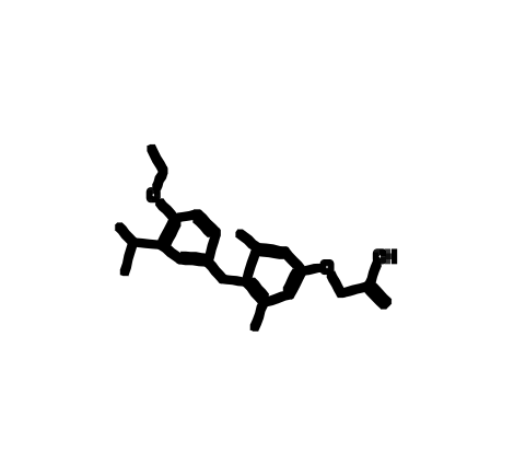 C=C(O)COc1cc(C)c(Cc2ccc(OCC)c(C(C)C)c2)c(C)c1